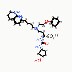 O=C(N[C@H]1CC[C@H](O)C1)N[C@H](CCN(CCCCc1ccc2c(n1)NCCC2)CCOc1ccccc1)C(=O)O